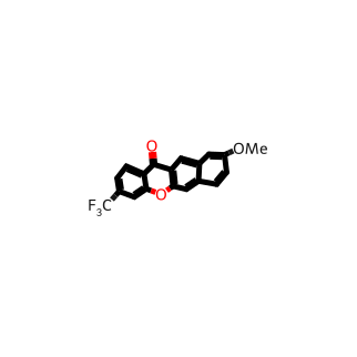 COc1ccc2cc3oc4cc(C(F)(F)F)ccc4c(=O)c3cc2c1